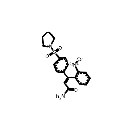 NC(=O)C=C(c1ccc(S(=O)(=O)N2CCCC2)cc1)c1ccccc1[N+](=O)[O-]